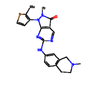 CC(C)n1c(=O)c2cnc(Nc3ccc4c(c3)CN(C)CC4)nc2n1-c1ccsc1C(C)(C)C